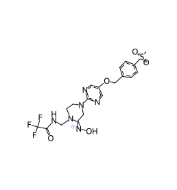 CS(=O)(=O)c1ccc(COc2cnc(N3CCN(CNC(=O)C(F)(F)F)/C(=N/O)C3)nc2)cc1